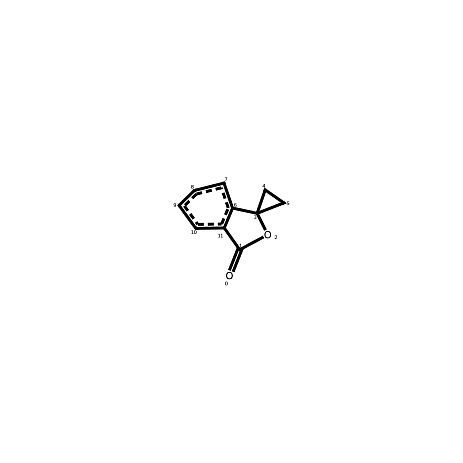 O=C1OC2(CC2)c2ccccc21